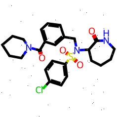 O=C1NCCCCC1N(Cc1cccc(C(=O)N2CCCCC2)c1)S(=O)(=O)c1ccc(Cl)cc1